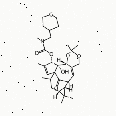 CC1=CC23C(=O)[C@@H](C=C4COC(C)(C)O[C@H]4[C@]2(O)[C@H]1OC(=O)N(C)CC1CCOCC1)[C@H]1[C@@H](CC3C)C1(C)C